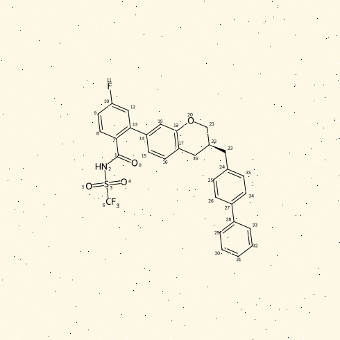 O=C(NS(=O)(=O)C(F)(F)F)c1ccc(F)cc1-c1ccc2c(c1)OC[C@@H](Cc1ccc(-c3ccccc3)cc1)C2